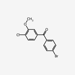 COc1cc(C(=O)c2ccc(Br)cc2)ccc1Cl